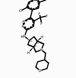 Fc1ccc(Cl)c(-c2nnc(N[C@H]3C[C@@H]4CN(CC5CCOCC5)C[C@@H]4C3)cc2C(F)(F)F)c1